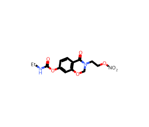 CCNC(=O)Oc1ccc2c(c1)OCN(CCO[N+](=O)[O-])C2=O